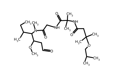 CCC(C)C(C(CC=O)OC)N(C)C(=O)CNC(=O)C(C)(C)NC(=O)CC(C)(C)OCC(C)C